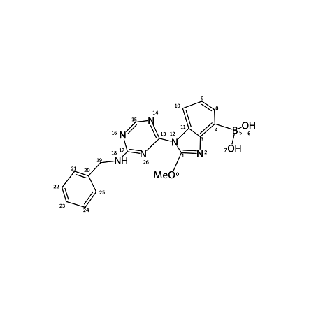 COc1nc2c(B(O)O)cccc2n1-c1ncnc(NCc2ccccc2)n1